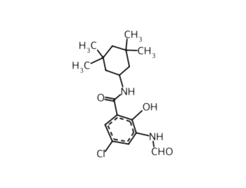 CC1(C)CC(NC(=O)c2cc(Cl)cc(NC=O)c2O)CC(C)(C)C1